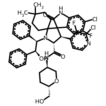 CC1(C)CCC2(CC1)N([C@H](c1ccccc1)[C@@H](O)c1ccccc1)[C@@H](C(=O)N[C@@H]1CC[C@@H](CO)OC1)[C@H](c1ccnc(Cl)c1F)C21C(=O)Nc2cc(Cl)c(F)cc21